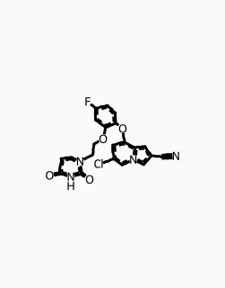 N#Cc1cc2c(Oc3ccc(F)cc3OCCn3ccc(=O)[nH]c3=O)cc(Cl)cn2c1